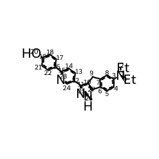 CCN(CC)c1ccc2c(c1)Cc1c(-c3ccc(-c4ccc(O)cc4)nc3)n[nH]c1-2